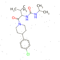 CC(C)NC(=O)NC(C(=O)N1CCC(c2ccc(Cl)cc2)CC1)C(C)C